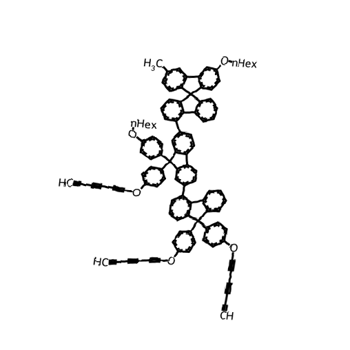 C#CC#CC#COc1ccc(C2(c3ccc(OCCCCCC)cc3)c3cc(-c4cccc5c4-c4ccccc4C5(c4ccc(OC#CC#CC#C)cc4)c4ccc(OC#CC#CC#C)cc4)ccc3-c3ccc(-c4cccc5c4-c4ccccc4C54c5ccc(C)cc5-c5cc(OCCCCCC)ccc54)cc32)cc1